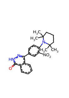 CC1(C)CCCC(C)(C)N1c1ccc(-c2n[nH]c(=O)c3ccccc23)cc1[N+](=O)[O-]